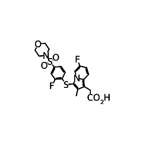 Cc1c(CC(=O)O)c2ccc(F)cn2c1Sc1ccc(S(=O)(=O)N2CCOCC2)cc1F